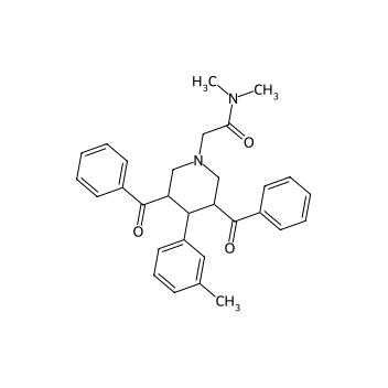 Cc1cccc(C2C(C(=O)c3ccccc3)CN(CC(=O)N(C)C)CC2C(=O)c2ccccc2)c1